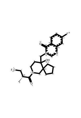 C[C@H](CC(F)(F)F)C(=O)N1CCC(O)(Cn2cnc3cc(F)ccc3c2=O)C2(CCCC2)C1